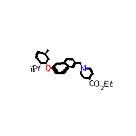 CCOC(=O)C1CCN(Cc2ccc3cc(O[C@@H]4C[C@H](C)CC[C@H]4C(C)C)ccc3c2)CC1